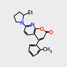 CCC1CCCN1c1ccc2c(-c3ccccc3C)cc(=O)oc2n1